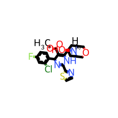 COC(=O)C1=C(CN2C3COC[C@H]2CC(O)C3)NC(c2nccs2)=NC1c1ccc(F)cc1Cl